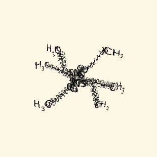 CCCCCCCCCCCCOC(=O)c1nc2c(-c3cc(CC(CCCCCCCC)CCCCCCCCCC)cs3)c3sc(C(=O)OCCCCCCCCCCCC)nc3c(-c3cc(CC(CCCCCCCC)CCCCCCCCCC)cs3)c2s1